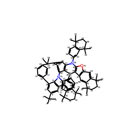 CC(C)(C)c1cc(-c2ccccc2)c2c(c1)-c1ccc(cc1)C(C)(C)c1cc3c4c(c1)N2c1cc2c(cc1B4c1c(oc4cc5c(cc14)C(C)(C)CCC5(C)C)N3c1ccc3c(c1)C(C)(C)CCC3(C)C)C(C)(C)CCC2(C)C